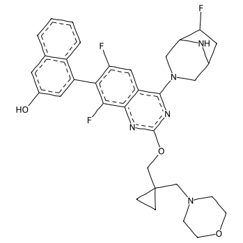 Oc1cc(-c2c(F)cc3c(N4CC5CC(F)C(C4)N5)nc(OCC4(CN5CCOCC5)CC4)nc3c2F)c2ccccc2c1